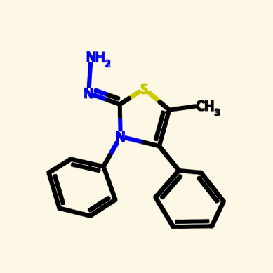 Cc1s/c(=N\N)n(-c2ccccc2)c1-c1ccccc1